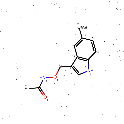 CCC(=O)NOCc1c[nH]c2ccc(OC)cc12